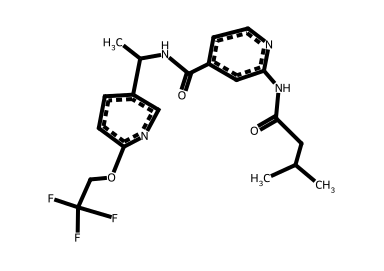 CC(C)CC(=O)Nc1cc(C(=O)NC(C)c2ccc(OCC(F)(F)F)nc2)ccn1